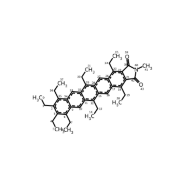 CCc1c(CC)c(CC)c2cc3c(CC)c4cc5c(CC)c6c(c(CC)c5cc4c(CC)c3cc2c1CC)C(=O)N(C)C6=O